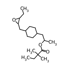 CCC1OC1CC1CCC(CC(C)OC(=O)C(C)(C)CC)CC1